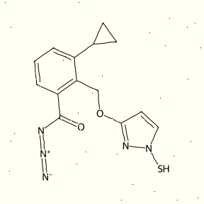 [N-]=[N+]=NC(=O)c1cccc(C2CC2)c1COc1ccn(S)n1